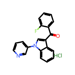 Cl.O=C(c1ccccc1F)c1cn(-c2cccnc2)c2ccccc12